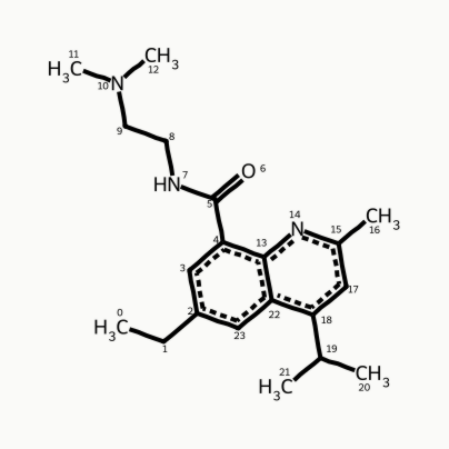 CCc1cc(C(=O)NCCN(C)C)c2nc(C)cc(C(C)C)c2c1